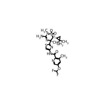 Cc1cc(OC(F)F)cnc1C(=O)Nc1csc([C@@]2(C)N=C(N)N(C)S(=O)(=O)[C@@H]2C2CC2(C)C)n1